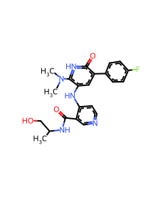 CC(CO)NC(=O)c1cnccc1Nc1cc(-c2ccc(F)cc2)c(=O)[nH]c1N(C)C